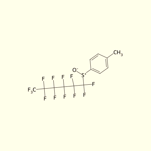 Cc1ccc([S+]([O-])C(F)(F)C(F)(F)C(F)(F)C(F)(F)C(F)(F)C(F)(F)F)cc1